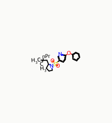 CCCC(C)(C)CC1CCCN1S(=O)(=O)c1ccc(Oc2ccccc2)nc1